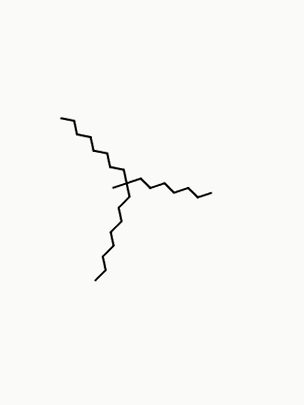 CCCCCCCCC(C)(CCCCCCC)CCCCCCCC